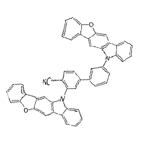 N#Cc1ccc(-c2cccc(-n3c4ccccc4c4cc5oc6ccccc6c5cc43)c2)cc1-n1c2ccccc2c2cc3oc4ccccc4c3cc21